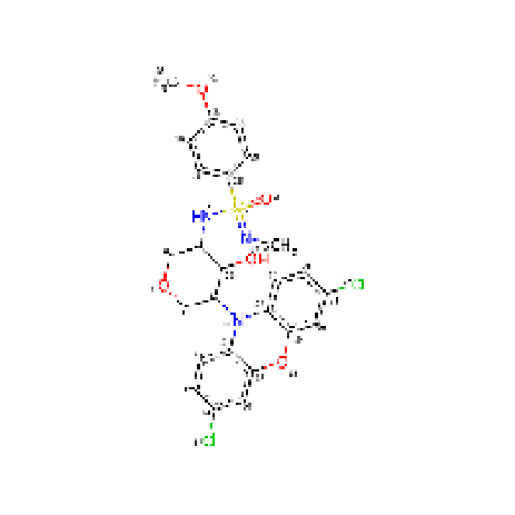 CN=S(=O)(NC1COCC(N2c3ccc(Cl)cc3Oc3cc(Cl)ccc32)C1O)c1ccc(OC(F)(F)F)cc1